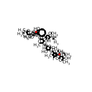 CCN[C@H]1CO[C@@H](O[C@H]2[C@H](O[C@H]3C#C/C=C\C#C[C@]4(O)CC(=O)C(NC(=O)OC)=C3/C4=C\CSSC(C)(C)CC(=O)N(C)C)O[C@H](C)[C@@H](NO[C@H]3C[C@H](O)[C@H](SC(=O)c4c(C)c(I)c(O[C@@H]5O[C@@H](C)[C@H](O)[C@@H](OC)[C@H]5O)c(OC)c4OC)[C@@H](C)O3)[C@@H]2O)C[C@@H]1OC